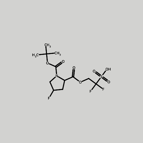 CC(C)(C)OC(=O)N1CC(F)CC1C(=O)OCC(F)(F)S(=O)(=O)O